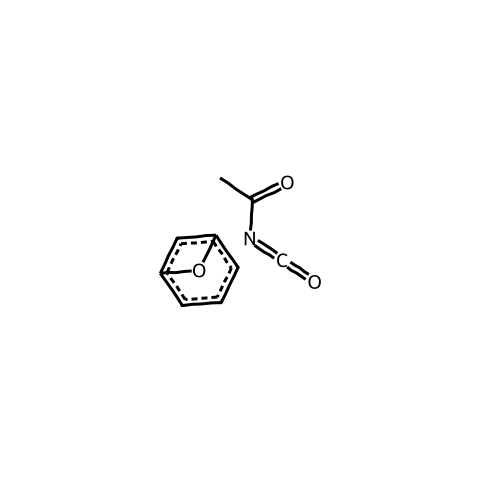 CC(=O)N=C=O.c1cc2cc(c1)O2